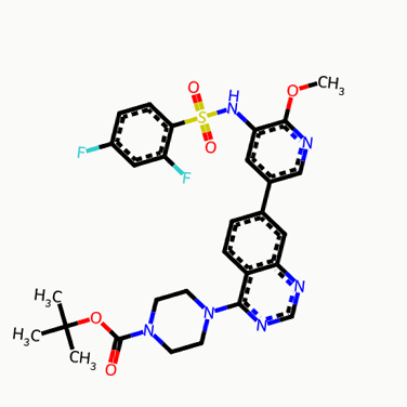 COc1ncc(-c2ccc3c(N4CCN(C(=O)OC(C)(C)C)CC4)ncnc3c2)cc1NS(=O)(=O)c1ccc(F)cc1F